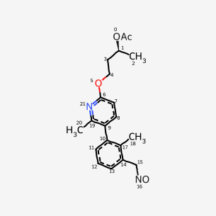 CC(=O)O[C@@H](C)CCOc1ccc(-c2cccc(CN=O)c2C)c(C)n1